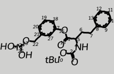 CC(C)(C)OC(=O)NC(CCc1ccccc1)C(=O)Oc1cccc(CON(O)O)c1